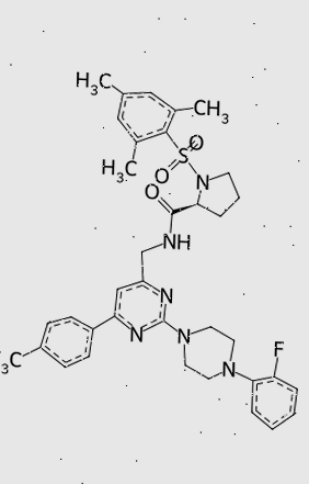 Cc1cc(C)c(S(=O)(=O)N2CCC[C@H]2C(=O)NCc2cc(-c3ccc(C(F)(F)F)cc3)nc(N3CCN(c4ccccc4F)CC3)n2)c(C)c1